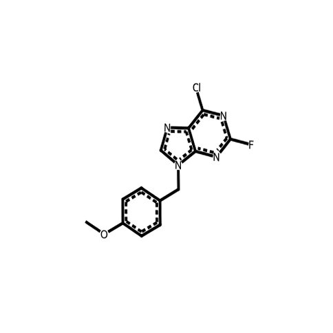 COc1ccc(Cn2cnc3c(Cl)nc(F)nc32)cc1